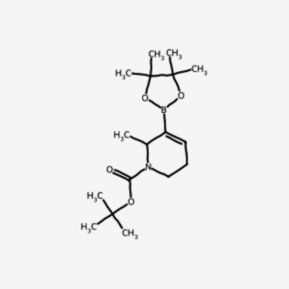 CC1C(B2OC(C)(C)C(C)(C)O2)=CCCN1C(=O)OC(C)(C)C